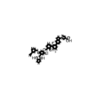 Cc1c(COc2cc(OCc3cncc(C#N)c3)c(CN[C@@H]3CCC[C@@H]3O)cc2Cl)cccc1-c1cccc(-c2ccc3c(c2)CCC3N2CC[C@H](C(=O)O)C2)c1C